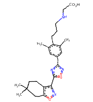 Cc1cc(-c2noc(-c3noc4c3CCC(C)(C)C4)n2)cc(C)c1CCCNCC(=O)O